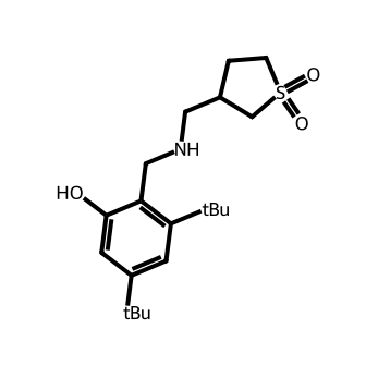 CC(C)(C)c1cc(O)c(CNCC2CCS(=O)(=O)C2)c(C(C)(C)C)c1